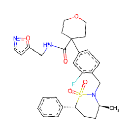 C[C@H]1CC[C@H](c2ccccc2)S(=O)(=O)N1Cc1ccc(C2(C(=O)NCc3ccno3)CCOCC2)cc1F